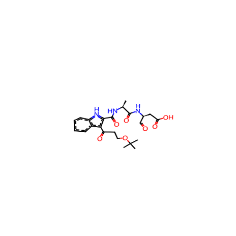 C[C@H](NC(=O)c1[nH]c2ccccc2c1C(=O)CCOC(C)(C)C)C(=O)N[C@H](C=O)CC(=O)O